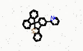 c1ccc(-c2ccc3c(c2)-c2c(sc4ccccc24)C32c3ccccc3-c3ccccc32)nc1